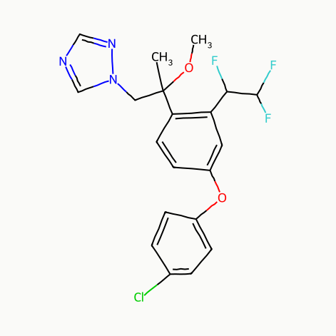 COC(C)(Cn1cncn1)c1ccc(Oc2ccc(Cl)cc2)cc1C(F)C(F)F